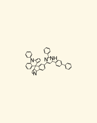 C1=C(c2ccc3c(c2)C2(c4ccccc4N(c4ccccc4)c4ccccc42)c2cccnc2-3)N=C(c2ccccc2)NC1c1ccc(-c2ccccc2)cc1